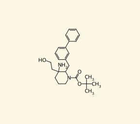 CC(C)(C)OC(=O)N1CCCC(N)(CCO)C1Cc1cccc(-c2ccccc2)c1